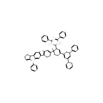 CC1(C2=Cc3sc4cc5c(cc4c3CC2)N(c2ccccc2)C2=CCCC25)CCC(C2=CC(C3C=CC=CC3)=CC(c3ccccc3)C2)=CC1C1NC(c2ccccc2)=NC(c2ccccc2)N1